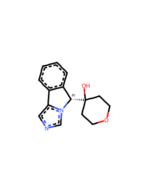 OC1([C@H]2c3ccccc3-c3cncn32)CCOCC1